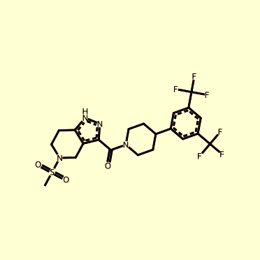 CS(=O)(=O)N1CCc2[nH]nc(C(=O)N3CCC(c4cc(C(F)(F)F)cc(C(F)(F)F)c4)CC3)c2C1